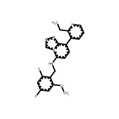 CCc1ncccc1-c1ccc(NCc2c(F)cc(F)cc2OC)n2cnnc12